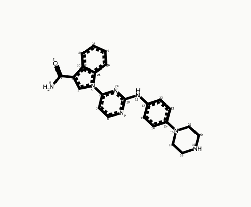 NC(=O)c1cn(-c2ccnc(Nc3ccc(N4CCNCC4)cc3)n2)c2ccccc12